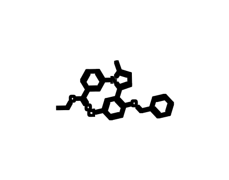 CCOC(=O)c1cccc(-n2c(C)ccc2-c2cc(Cl)ccc2OCc2ccccc2)c1